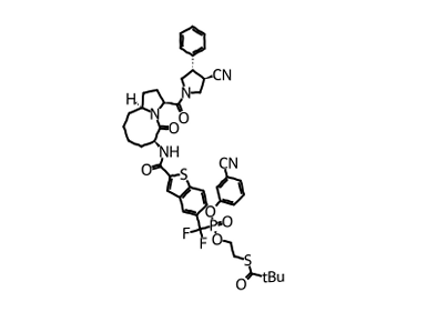 CC(C)(C)C(=O)SCCOP(=O)(Oc1cccc(C#N)c1)C(F)(F)c1ccc2sc(C(=O)N[C@H]3CCCC[C@H]4CC[C@@H](C(=O)N5C[C@H](c6ccccc6)[C@@H](C#N)C5)N4C3=O)cc2c1